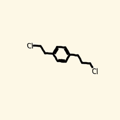 ClCCCc1ccc(CCCl)cc1